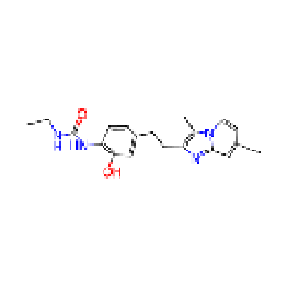 CCNC(=O)Nc1ccc(CCc2nc3cc(C)ccn3c2C)cc1O